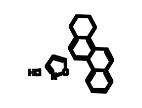 Cl.c1ccc2c(c1)ccc1c3c(ccc12)CCCC3.c1cnoc1